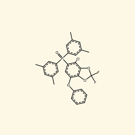 Cc1cc(C)cc(P(=O)(c2cc(C)cc(C)c2)c2cc(Oc3ccccc3)c3c(c2Cl)OC(F)(F)O3)c1